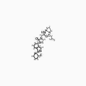 CC(C)CO[C@H]1CCC[C@H]1NC(=O)CN1CCN(c2cccc3c2cnn3-c2ccccc2F)C1=O